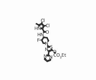 CCOC(=O)Oc1sc(N2CC[C@@H](NC(=O)c3[nH]c(C)c(Cl)c3Cl)[C@@H](F)C2)nc1-c1ncccn1